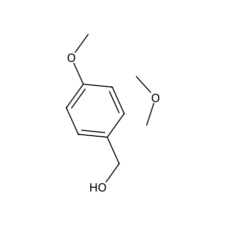 COC.COc1ccc(CO)cc1